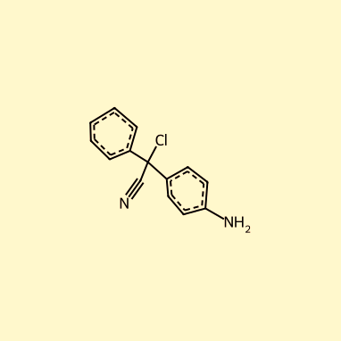 N#CC(Cl)(c1ccccc1)c1ccc(N)cc1